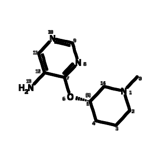 CN1CCC[C@H](Oc2ncncc2N)C1